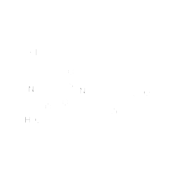 COc1ncc(Cl)cc1S(=O)(=O)N1CCC2(CC1)CC(=O)CO2